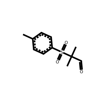 Cc1ccc(S(=O)(=O)C(C)(C)C=O)cc1